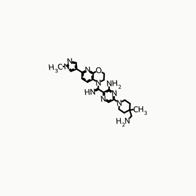 Cn1cc(-c2ccc3c(n2)OCCN3C(=N)c2ncc(N3CCC(C)(CN)CC3)nc2N)cn1